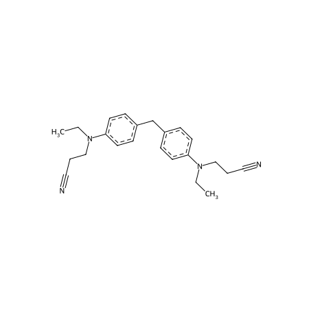 CCN(CCC#N)c1ccc(Cc2ccc(N(CC)CCC#N)cc2)cc1